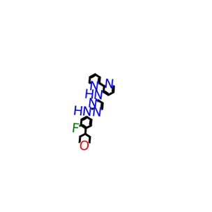 Fc1cc(Nc2nccc(Nc3cccnc3-c3ccccn3)n2)ccc1C1CCOCC1